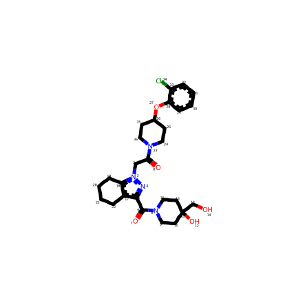 O=C(Cn1nc(C(=O)N2CCC(O)(CO)CC2)c2c1CCCC2)N1CCC(Oc2ccccc2Cl)CC1